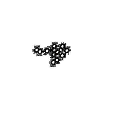 c1ccc(C2(c3ccccc3)c3ccccc3-c3c(-c4ccccc4N(c4ccc(-c5ccc6ccccc6c5)cc4)c4ccc(-c5cccc6ccccc56)cc4)cccc32)cc1